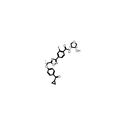 C[C@@H](Oc1ccc(C(=O)C2CC2)cc1)c1nc(-c2ccc(C(=O)N[C@@H]3COC[C@@H]3O)c(F)c2)no1